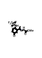 COC(=O)N/N=C(\C)c1cc(Cl)ccc1NS(=O)(=O)C(F)(F)F